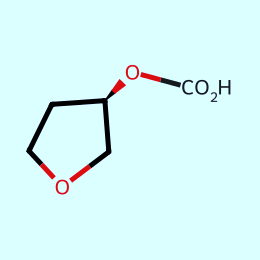 O=C(O)O[C@@H]1CCOC1